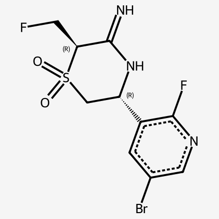 N=C1N[C@H](c2cc(Br)cnc2F)CS(=O)(=O)[C@H]1CF